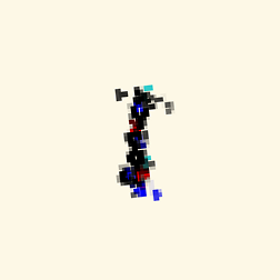 CC(C)(F)CN1CCC(COc2ccc(-c3ccc(C(=O)N4CCCC4C(N)=O)c(F)c3)nc2)CC1